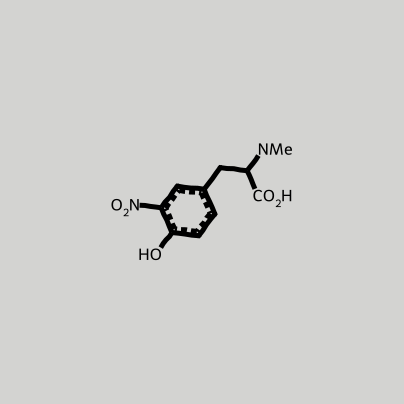 CNC(Cc1ccc(O)c([N+](=O)[O-])c1)C(=O)O